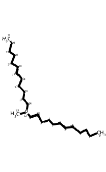 CCCCCCCCCCCCP(C)CCCCCCCCCCCC